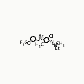 CCN(C)/C=N/c1cc(C)c(N(Cc2cccc(OC(F)(F)F)c2)C(C)=O)cc1Cl